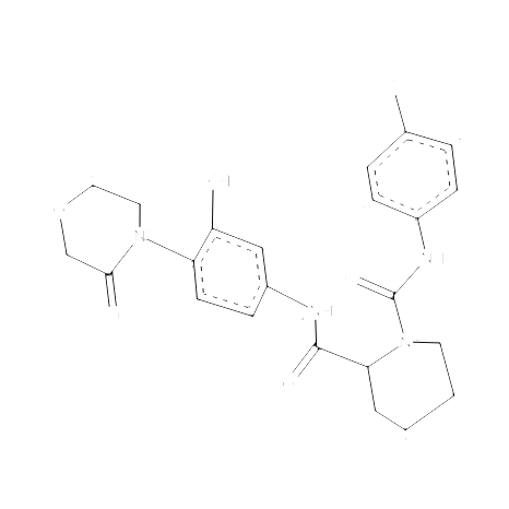 Cc1cc(NC(=O)C2CCCCN2C(=O)Nc2ccc(Cl)cc2)ccc1N1CCOCC1=O